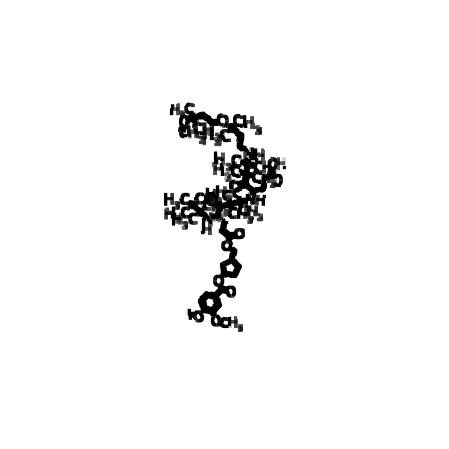 COc1cc(C(=O)OC2CCC(COC(=O)CC[C@H](NC(C)(C)C(C)(C)C)C(=O)C(C)(C)C(C)(C)NC(CCC(=O)O)C(=O)C(C)(C)C(C)(C)NCCC(C)(C)OCCC(C)(C)OC)C2)ccc1OI